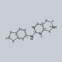 c1cc2c(cc1Nc1ncc3c(n1)CNCC3)COC2